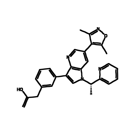 C=C(O)Cc1cccc(-c2cn([C@@H](C)c3ccccn3)c3cc(-c4c(C)noc4C)cnc23)c1